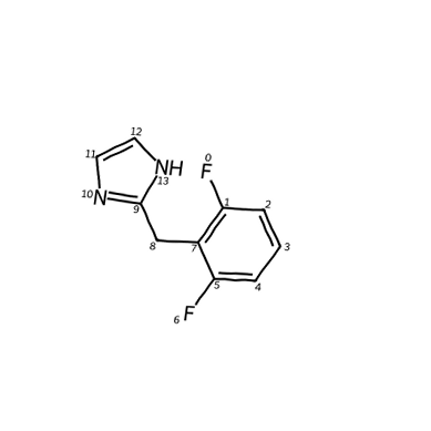 Fc1cccc(F)c1Cc1ncc[nH]1